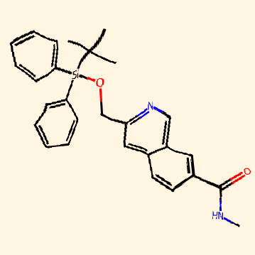 CNC(=O)c1ccc2cc(CO[Si](c3ccccc3)(c3ccccc3)C(C)(C)C)ncc2c1